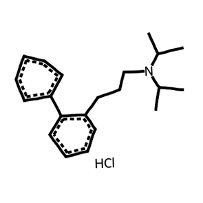 CC(C)N(CCCc1ccccc1-c1ccccc1)C(C)C.Cl